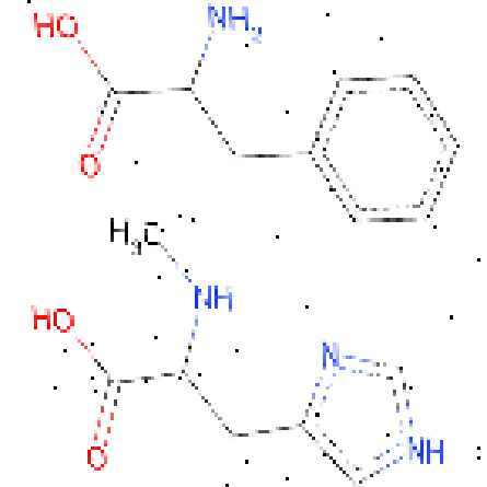 CNC(Cc1c[nH]cn1)C(=O)O.NC(Cc1ccccc1)C(=O)O